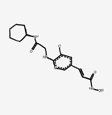 O=C(/C=C/c1cnc(NCC(=O)NC2CCCCC2)c(Cl)c1)NO